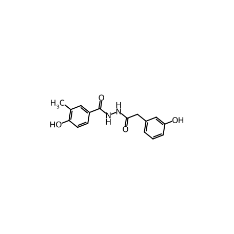 Cc1cc(C(=O)NNC(=O)Cc2cccc(O)c2)ccc1O